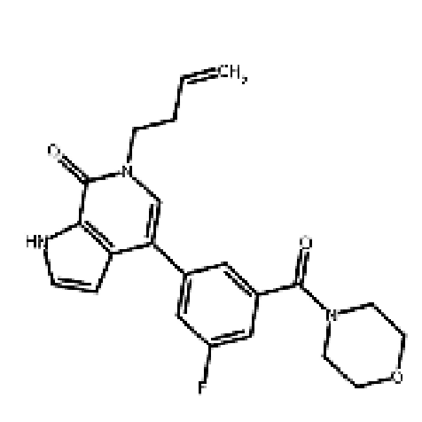 C=CCCn1cc(-c2cc(F)cc(C(=O)N3CCOCC3)c2)c2cc[nH]c2c1=O